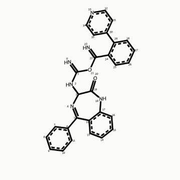 N=C(NC1N=C(c2ccccc2)c2ccccc2NC1=O)OC(=N)c1ccccc1-c1ccncc1